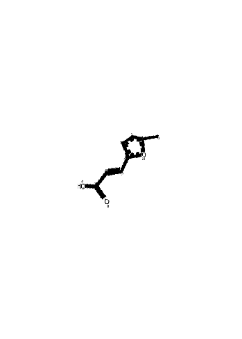 Cc1ccc(C=CC(=O)O)o1